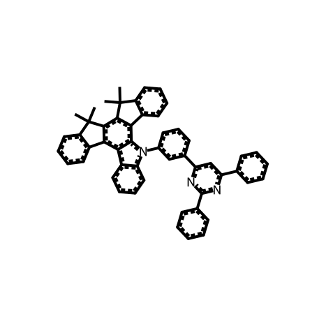 CC1(C)c2ccccc2-c2c1c1c(c3c2c2ccccc2n3-c2cccc(-c3cc(-c4ccccc4)nc(-c4ccccc4)n3)c2)-c2ccccc2C1(C)C